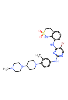 Cc1cc(Nc2ncc(Br)c(Nc3cccc4c3NS(=O)(=O)CC4)n2)ccc1N1CCC(N2CCN(C)CC2)CC1